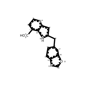 O=C(O)c1ccnc2cc(Cc3ccc4ncoc4c3)[nH]c12